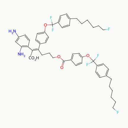 Nc1ccc(/C(C(=O)O)=C(/CCCOC(=O)c2ccc(OC(F)(F)c3ccc(CCCCCCF)cc3)cc2)c2ccc(OC(F)(F)c3ccc(CCCCCCF)cc3)cc2)c(N)c1